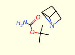 C1C2CN3C1C23.CC(C)(C)OC(N)=O